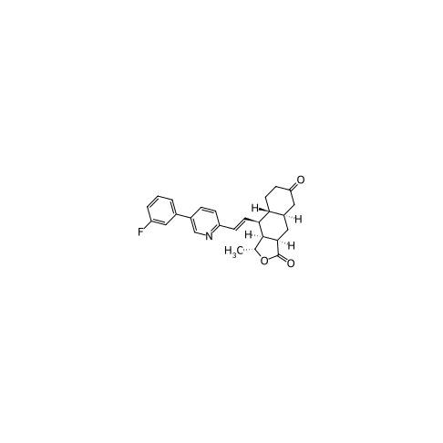 C[C@H]1OC(=O)[C@@H]2C[C@@H]3CC(=O)CC[C@H]3[C@H](/C=C/c3ccc(-c4cccc(F)c4)cn3)[C@H]12